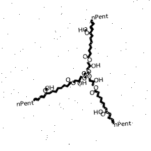 CCCCC/C=C/C=C/C(CCCCCCCC(=O)OC[C@H](O)COP(=O)(OC[C@@H](O)COC(=O)CCCCCCCC(/C=C/C=C/CCCCC)OO)OC[C@@H](O)COC(=O)CCCCCCCC(/C=C/C=C/CCCCC)OO)OO